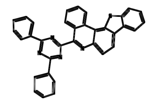 c1ccc(-c2nc(-c3ccccc3)nc(-c3nc4ccc5c6ccccc6sc5c4c4ccccc34)n2)cc1